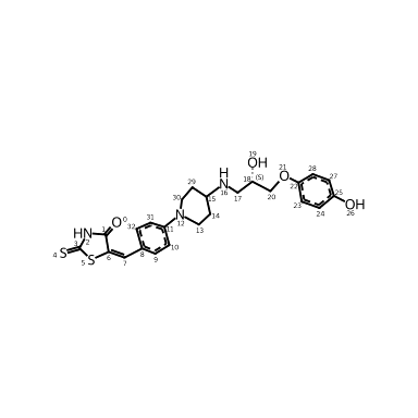 O=C1NC(=S)SC1=Cc1ccc(N2CCC(NC[C@H](O)COc3ccc(O)cc3)CC2)cc1